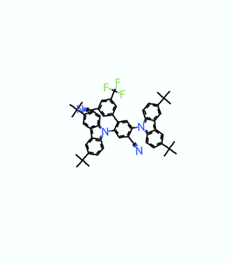 CC(C)(C)c1ccc2c(c1)c1cc(C(C)(C)C)ccc1n2-c1cc(-c2cc(C#N)cc(C(F)(F)F)c2)c(-n2c3ccc(C(C)(C)C)cc3c3cc(C(C)(C)C)ccc32)cc1C#N